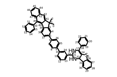 CC1(C)c2cc(-c3ccc(-c4cccc(C5NC(c6ccccc6)=C6Sc7ccccc7C6N5)c4)cc3)ccc2-c2c1cc1ccccc1c2-c1ccccc1